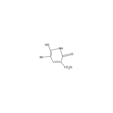 CCOC(=O)c1cc(C#N)c(O)[nH]c1=O